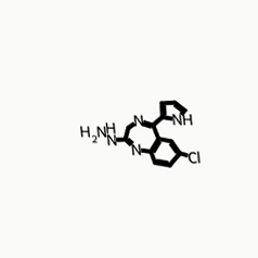 NNC1=Nc2ccc(Cl)cc2C(c2ccc[nH]2)=NC1